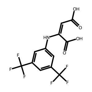 O=C(O)C=C(Nc1cc(C(F)(F)F)cc(C(F)(F)F)c1)C(=O)O